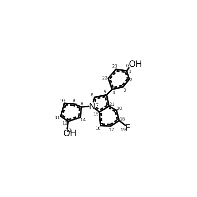 Oc1ccc(-c2cn(-c3[c]ccc(O)c3)c3ccc(F)cc23)cc1